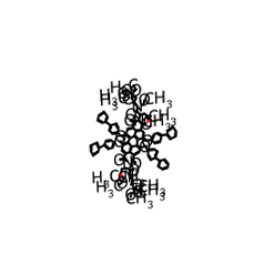 COCN(CC[Si](OC)(OC)OC)C(=O)C(CC(C)C)N1C(=O)c2cc(Oc3ccc(-c4ccccc4)cc3)c3c4c(Oc5ccc(-c6ccccc6)cc5)cc5c6c(cc(Oc7ccc(-c8ccccc8)cc7)c(c7c(Oc8ccc(-c9ccccc9)cc8)cc(c2c37)C1=O)c64)C(=O)N(C(CC(C)C)C(=O)N(CC[Si](OC)(OC)OC)COC)C5=O